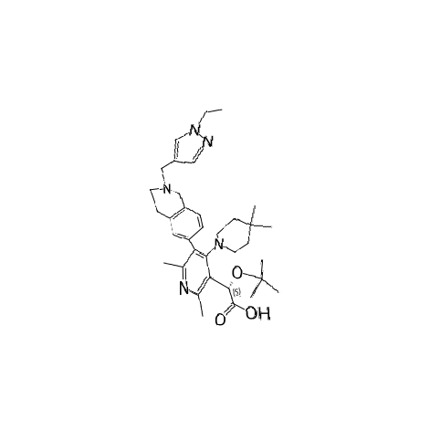 CCn1cc(CN2CCc3cc(-c4c(C)nc(C)c([C@H](OC(C)(C)C)C(=O)O)c4N4CCC(C)(C)CC4)ccc3C2)cn1